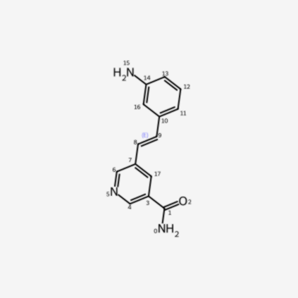 NC(=O)c1cncc(/C=C/c2cccc(N)c2)c1